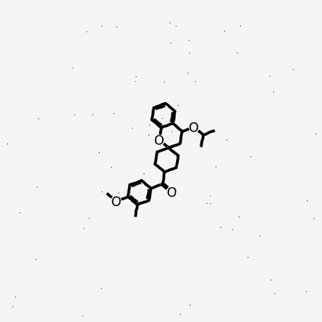 COc1ccc(C(=O)C2CCC3(CC2)CC(OC(C)C)c2ccccc2O3)cc1C